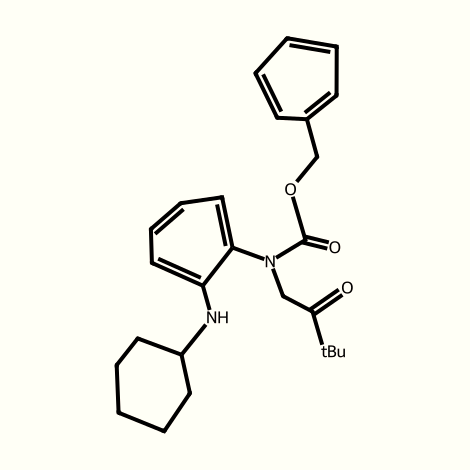 CC(C)(C)C(=O)CN(C(=O)OCc1ccccc1)c1ccccc1NC1CCCCC1